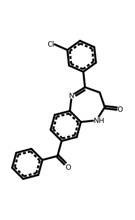 O=C1CC(c2cccc(Cl)c2)=Nc2ccc(C(=O)c3ccccc3)cc2N1